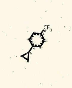 FC(F)(F)c1c[c]c(C2CC2)cc1